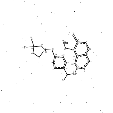 CC(Nc1ncc2ccc(=O)n(CC(C)(C)C)c2n1)c1ccc(CN2CCC(F)(F)C2)cc1